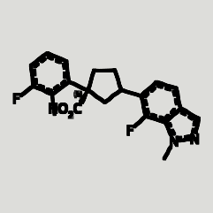 Cc1c(F)cccc1[C@]1(C(=O)O)CCC(c2ccc3cnn(C)c3c2F)C1